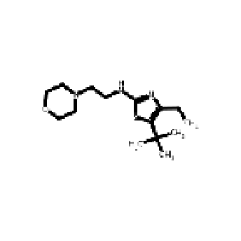 CCc1nc(NCCN2CCOCC2)sc1C(C)(C)C